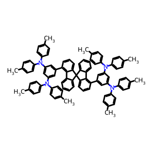 Cc1ccc(N(c2ccc(C)cc2)c2cc(-c3cccc4c3-c3ccccc3C43c4ccccc4-c4c(-c5cc(N(c6ccc(C)cc6)c6ccc(C)cc6)cc(N(c6ccc(C)cc6)c6ccc(C)cc6)c5)cccc43)cc(N(c3ccc(C)cc3)c3ccc(C)cc3)c2)cc1